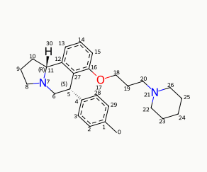 Cc1ccc([C@@H]2CN3CCC[C@@H]3c3cccc(OCCCN4CCCCC4)c32)cc1